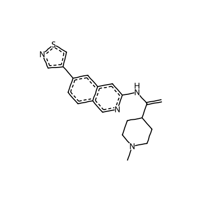 C=C(Nc1cc2cc(-c3cnsc3)ccc2cn1)C1CCN(C)CC1